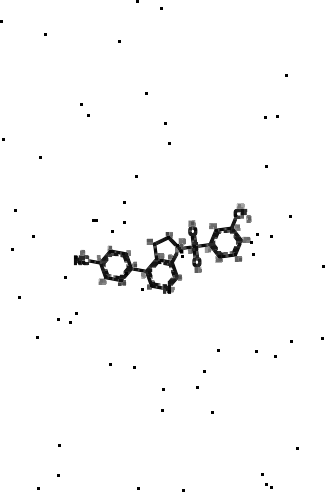 N#Cc1ccc(-c2cncc3c2CCN3S(=O)(=O)c2cccc(C(F)(F)F)c2)cc1